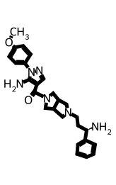 COc1ccc(-n2ncc(C(=O)N3CC4CN(CC[C@H](N)c5ccccc5)CC4C3)c2N)cc1